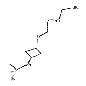 CC(C)[C@H](C)N[C@H]1C[C@H](OCCOCC(C)(C)C)C1